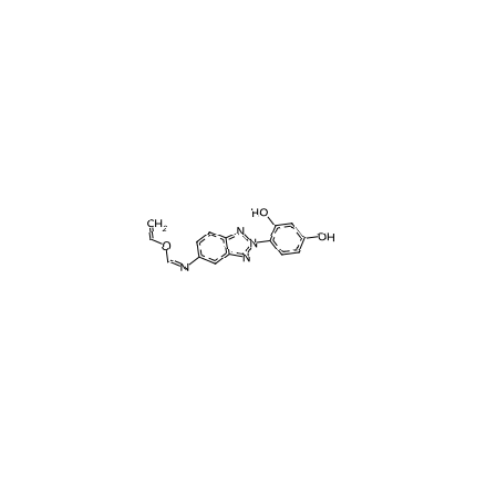 C=CO/C=N\c1ccc2nn(-c3ccc(O)cc3O)nc2c1